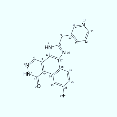 O=c1[nH]ncc2c3[nH]c(Cc4cccnc4)nc3c3ccc(F)cc3c12